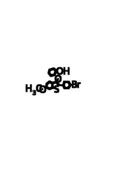 COc1ccc2c(Oc3ccccc3O)c(-c3ccc(Br)cc3)sc2c1